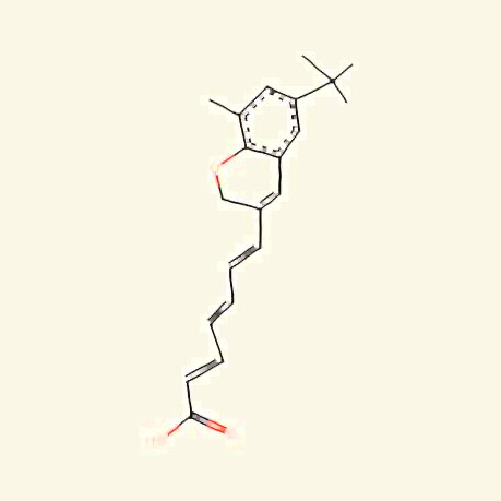 Cc1cc(C(C)(C)C)cc2c1OCC(/C=C/C=C/C=C/C(=O)O)=C2